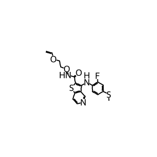 C=COCCONC(=O)c1sc2ccncc2c1Nc1ccc(SC)cc1F